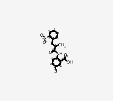 CC(Cc1ccccc1[N+](=O)[O-])C(=O)Nc1ccc(Cl)cc1C(=O)O